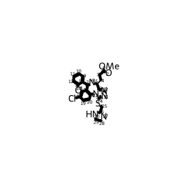 COC(=O)CC[C@@H]1N=C(c2ccccc2Cl)c2cc(Cl)ccc2-n2c(SCC3=NCCN3)nnc21